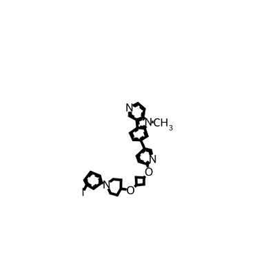 Cn1c2ccncc2c2ccc(-c3ccc(OC4CC(OC5CCN(c6cccc(I)c6)CC5)C4)nc3)cc21